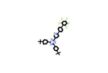 CC(C)(C)c1ccc(-c2nc(-c3ccc(C(C)(C)C)cc3)nc(-c3ccc(-c4ccc(-c5c(F)c(F)c(F)c(F)c5F)cc4)nc3)n2)cc1